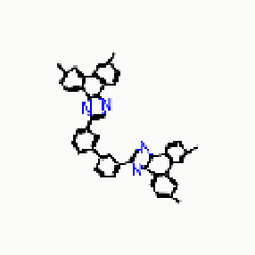 Cc1ccc2c(c1)c1cc(C)ccc1c1nc(-c3cccc(-c4cccc(-c5cnc6c7ccc(C)cc7c7cc(C)ccc7c6n5)c4)c3)cnc21